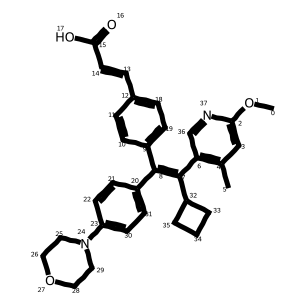 COc1cc(C)c(C(=C(c2ccc(C=CC(=O)O)cc2)c2ccc(N3CCOCC3)cc2)C2CCC2)cn1